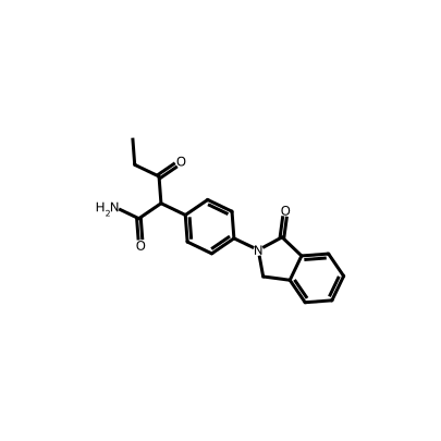 CCC(=O)C(C(N)=O)c1ccc(N2Cc3ccccc3C2=O)cc1